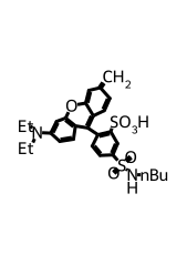 C=c1ccc2c(c1)Oc1cc(N(CC)CC)ccc1C=2c1ccc(S(=O)(=O)NCCCC)cc1S(=O)(=O)O